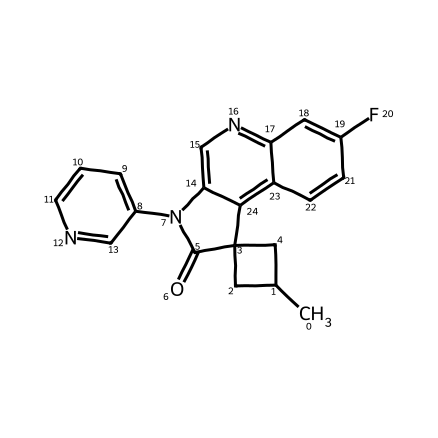 CC1CC2(C1)C(=O)N(c1cccnc1)c1cnc3cc(F)ccc3c12